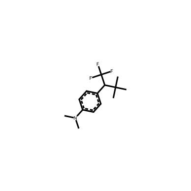 CN(C)c1ccc(C(C(C)(C)C)C(F)(F)F)cc1